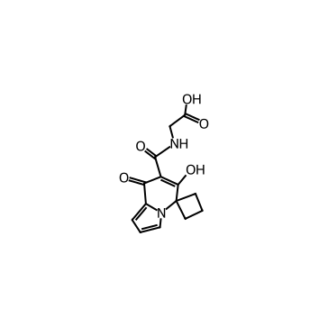 O=C(O)CNC(=O)C1=C(O)C2(CCC2)n2cccc2C1=O